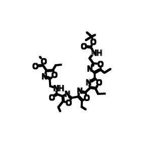 CCc1oc(-c2nc(-c3nc(-c4nc(CNC(=O)OC(C)(C)C)oc4CC)oc3CC)oc2CC)nc1C(=O)NCc1nc(C(=O)OC)c(CC)o1